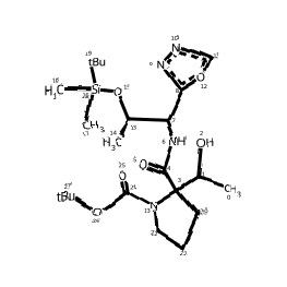 CC(O)C1(C(=O)NC(c2nnco2)[C@@H](C)O[Si](C)(C)C(C)(C)C)CCCN1C(=O)OC(C)(C)C